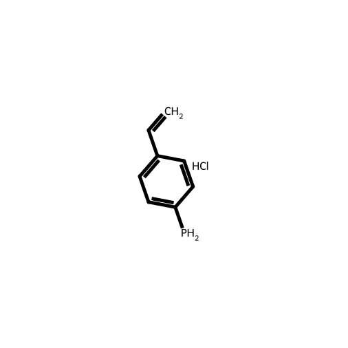 C=Cc1ccc(P)cc1.Cl